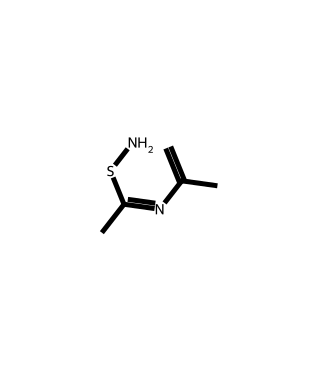 C=C(C)/N=C(/C)SN